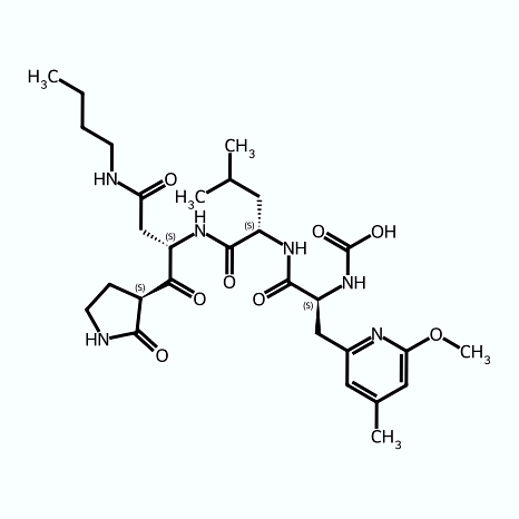 CCCCNC(=O)C[C@H](NC(=O)[C@H](CC(C)C)NC(=O)[C@H](Cc1cc(C)cc(OC)n1)NC(=O)O)C(=O)[C@@H]1CCNC1=O